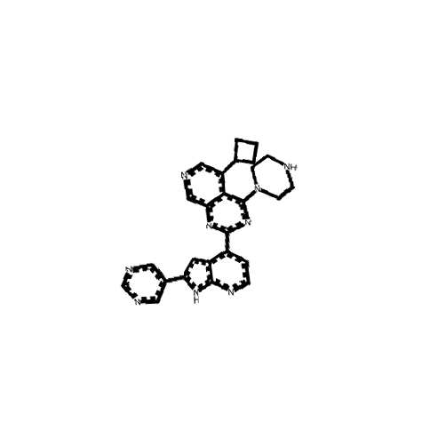 c1ncc(-c2cc3c(-c4nc(N5CCNCC5)c5c(C6CCC6)cncc5n4)ccnc3[nH]2)cn1